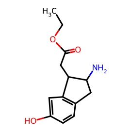 CCOC(=O)CC1c2cc(O)ccc2CC1N